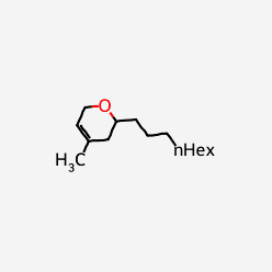 CCCCCCCCCC1CC(C)=CCO1